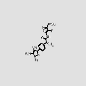 CC(C(=O)Nc1onc(CC(C)(C)C)c1F)c1ccc(-c2nn(C(C)C)c(N)c2C#N)cc1